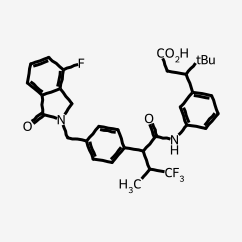 CC(C(C(=O)Nc1cccc(C(CC(=O)O)C(C)(C)C)c1)c1ccc(CN2Cc3c(F)cccc3C2=O)cc1)C(F)(F)F